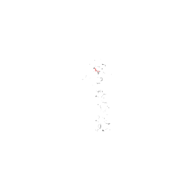 C=C[C@@]1(C)C[C@H](C)[C@]23CCC(=O)[C@H]2[C@@](C)(C(C)CC3)[C@H](OC(=O)Cn2cc(-c3ccc(Cn4cnc5c(N)ncnc54)nc3)nn2)C1